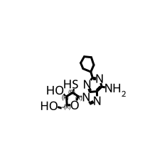 Nc1nc(C2CCCCC2)nc2c1ncn2[C@@H]1O[C@H](CO)[C@@H](O)[C@H]1S